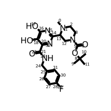 CN1CCN(C(=O)OC(C)(C)C)CC1c1nc(O)c(O)c(C(=O)NCc2ccc(F)cc2)n1